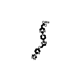 COC(=O)Cc1cnc(N2CCC(n3ncc(COc4ccc(-n5cnnn5)nc4)n3)CC2)nc1